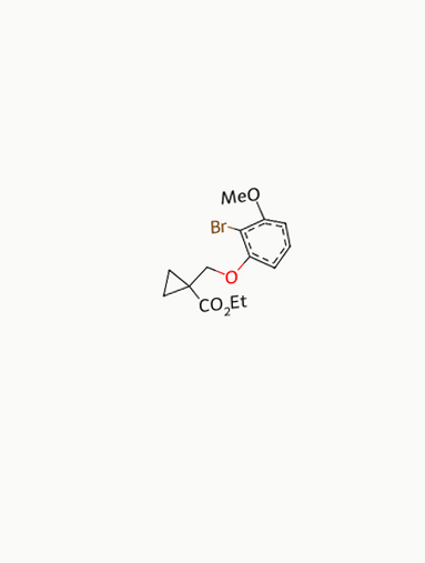 CCOC(=O)C1(COc2cccc(OC)c2Br)CC1